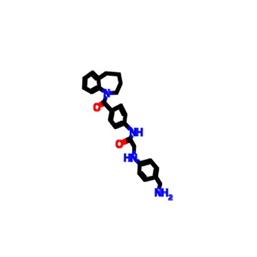 NCc1ccc(NCC(=O)Nc2ccc(C(=O)N3CCCCc4ccccc43)cc2)cc1